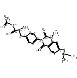 CN(C)Cc1ccc2c(=O)n(-c3ccc(C[C@H](N)C(=O)OC(=O)C(F)(F)F)cc3)c(=O)n(C)c2c1